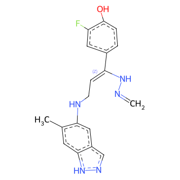 C=NN/C(=C\CNc1cc2cn[nH]c2cc1C)c1ccc(O)c(F)c1